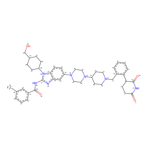 O=C1CCC(c2ccccc2CN2CCC(N3CCN(c4ccc5c(c4)nc(NC(=O)c4cccc(C(F)(F)F)c4)n5C4CCC(CO)CC4)CC3)CC2)C(=O)N1